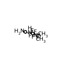 CC1CN(c2c(F)c(F)c(NCc3ccc(N)cc3)c(F)c2F)CC(C)O1